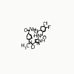 CN(C(=O)c1cc(NC(=O)c2cc(F)c(Cl)cc2Cl)[nH]n1)c1ccc(C(N)=O)cc1